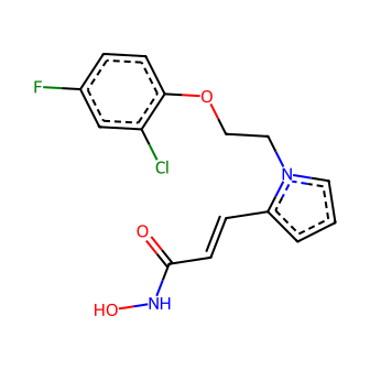 O=C(C=Cc1cccn1CCOc1ccc(F)cc1Cl)NO